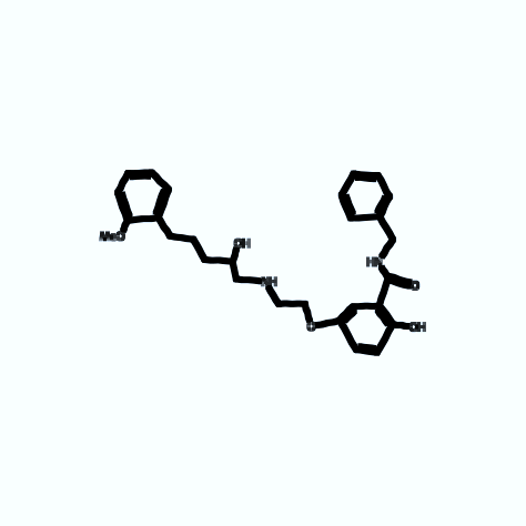 COc1ccccc1CCCC(O)CNCCOc1ccc(O)c(C(=O)NCc2ccccc2)c1